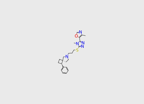 Cc1ncoc1-c1nnc(SCCCN2CC[C@]3(CC[C@@H]3c3ccccc3)C2)n1C